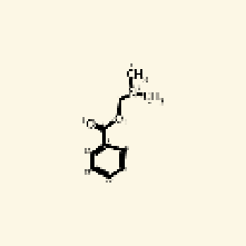 CN(C)COC(=O)c1[c]cccc1